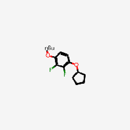 CCCCOc1ccc(OC2CCCC2)c(F)c1F